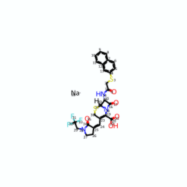 O=C(CSc1ccc2ccccc2c1)N[C@@H]1C(=O)N2C(C(=O)O)=C(C=C3CCN(CC(F)(F)F)C3=O)CS[C@H]12.[Na]